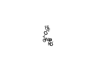 Cc1cccnc1C(=O)CNC(=O)C1CC1c1ccc(C(C)(C)C(F)(F)F)cc1